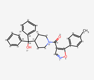 Cc1ccc(-c2oncc2C(=O)N2CCC(C(O)(c3ccccc3)c3ccccc3)CC2)cc1